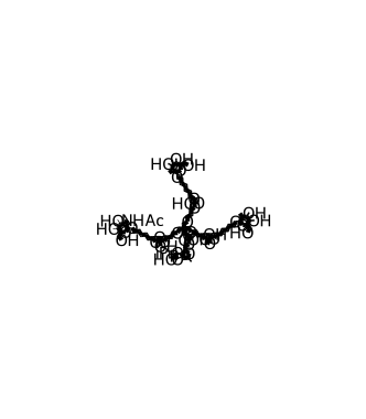 CC(=O)NC1[C@H](OCCCCCCOP(=O)(O)OCCCOCC(COCCCOP(=O)(O)OCCCCCCO[C@@H]2OC(CO)[C@H](O)[C@H](O)C2C)(COCCCOP(=O)(O)OCCCCCCO[C@@H]2OC(CO)[C@H](O)[C@H](O)C2C)COP(=O)(O)OCC2O[C@@H](C)C[C@@H]2OP(=O)(O)C(C)C)OC(CO)[C@H](O)[C@@H]1O